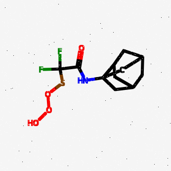 O=C(NC12CC3CC(CC1C3)C2)C(F)(F)SOOO